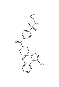 O=C(c1ccc(S(=O)(=O)NC2CC2)cc1)N1CCC2(CC1)Oc1ccccc1-n1c(C(F)(F)F)ccc12